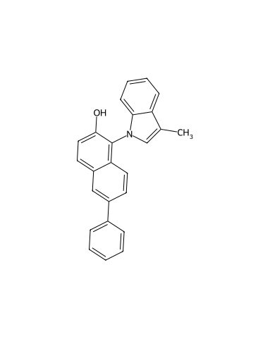 Cc1cn(-c2c(O)ccc3cc(-c4ccccc4)ccc23)c2ccccc12